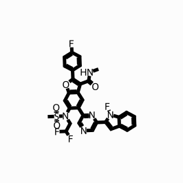 CNC(=O)c1c(-c2ccc(F)cc2)oc2cc(N(CC(F)F)S(C)(=O)=O)c(-c3cncc(-c4cc5ccccc5n4F)n3)cc12